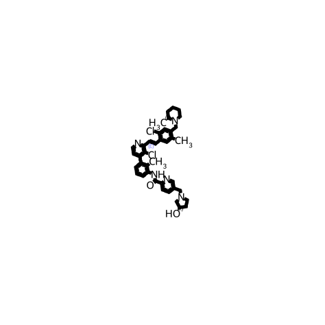 Cc1cc(/C=C/c2nccc(-c3cccc(NC(=O)c4ccc(CN5CC[C@@H](O)C5)cn4)c3C)c2Cl)c(Cl)cc1CN1CCCC[C@H]1C